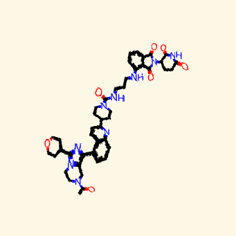 CC(=O)N1CCn2c(C3CCOCC3)nc(-c3cccc4nc(C5CCN(C(=O)NCCCNc6cccc7c6C(=O)N(C6CCC(=O)NC6=O)C7=O)CC5)ccc34)c2C1